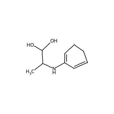 CC(NC1=C[CH]CC=C1)C(O)O